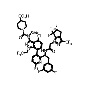 CCc1ccc(-c2ccc(Cl)c3c(N(SC)C(=O)N4CCC(C(=O)O)CC4)nn(CC(F)(F)F)c23)c(C(Cc2cc(F)cc(F)c2)NC(=O)Cn2nc(C(F)(F)F)c3c2C(F)(F)[C@H](C)C3)n1